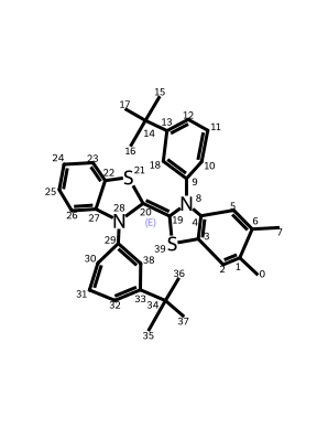 Cc1cc2c(cc1C)N(c1cccc(C(C)(C)C)c1)/C(=C1\Sc3ccccc3N1c1cccc(C(C)(C)C)c1)S2